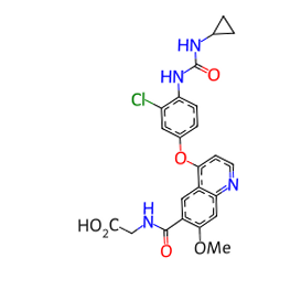 COc1cc2nccc(Oc3ccc(NC(=O)NC4CC4)c(Cl)c3)c2cc1C(=O)NCC(=O)O